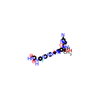 CC(C)(O)c1cc2nn(C34CC(N5CCN(C6CCN(c7ccc(NC8CCC(=O)NC8=O)cc7F)CC6)CC5)(C3)C4)cc2cc1NC(=O)c1ccc2cc(C#N)cnn12